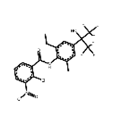 CCc1cc(C(O)(C(F)(F)F)C(F)(F)F)cc(C)c1NC(=O)c1cccc([N+](=O)[O-])c1Cl